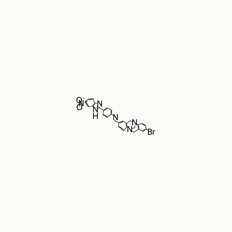 O=[N+]([O-])c1ccc2nc(-c3ccc(N=Cc4ccc5c(c4)CN4CN5Cc5cc(Br)ccc54)cc3)[nH]c2c1